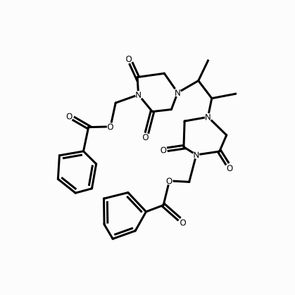 CC(C(C)N1CC(=O)N(COC(=O)c2ccccc2)C(=O)C1)N1CC(=O)N(COC(=O)c2ccccc2)C(=O)C1